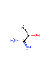 CC(C)C(O)C(=N)N